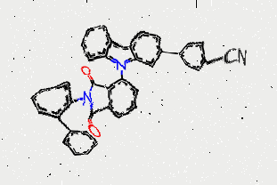 N#Cc1ccc(-c2ccc3c4ccccc4n(-c4cccc5c4C(=O)N(c4ccccc4-c4ccccc4)C5=O)c3c2)cc1